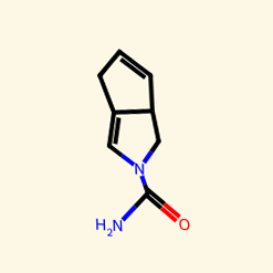 NC(=O)N1C=C2CC=CC2C1